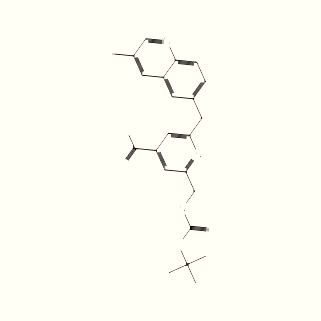 CC(C)(C)OC(=O)NCc1cc(C(=O)O)cc(Cc2ccc3ncc(Cl)cc3c2)n1